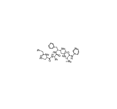 CC[C@H](C)[C@H](NC(=O)CC(N)C(Cc1ccccc1)NC(=O)C(NC(=O)C(CC(C)C)NC(=O)CC(C)C)C(C)C)C(=O)Nc1cccnc1